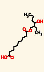 CCCC(O)C(CC)COC(=O)CCCCCCCCC(=O)O